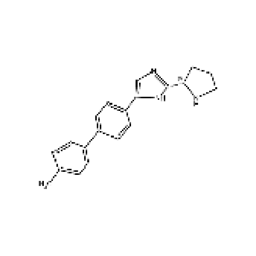 Cc1ccc(-c2ccc(-c3cnc([C@@H]4CCCN4)[nH]3)cc2)cc1